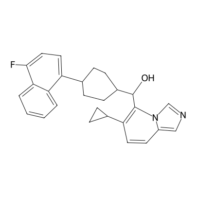 OC(c1c(C2CC2)ccc2cncn12)C1CCC(c2ccc(F)c3ccccc23)CC1